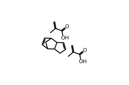 C1=CC2C3C=CC(C3)C2C1.C=C(C)C(=O)O.C=C(C)C(=O)O